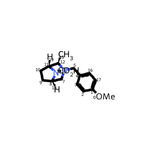 COc1ccc(CN2C[C@@H]3CC[C@H]([C@H]2C)N3C(=O)O)cc1